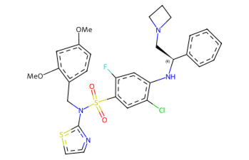 COc1ccc(CN(c2nccs2)S(=O)(=O)c2cc(Cl)c(N[C@@H](CN3CCC3)c3ccccc3)cc2F)c(OC)c1